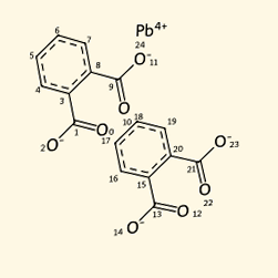 O=C([O-])c1ccccc1C(=O)[O-].O=C([O-])c1ccccc1C(=O)[O-].[Pb+4]